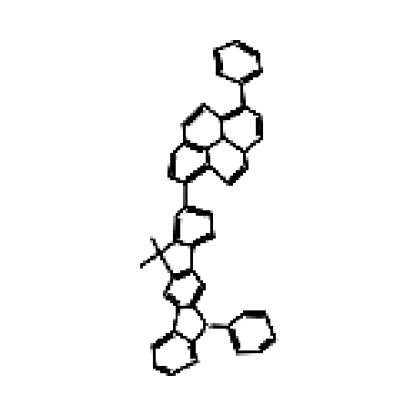 CC1(C)c2cc(-c3ccc4c5c3C=CC3C=CC(c6ccccc6)=C(C=C4)C53)ccc2-c2cc3c(cc21)c1ccccc1n3-c1ccccc1